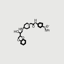 CCC[S+]([O-])c1ccc(NC(=O)CN2CCC(NCC(O)C3COc4ccccc4O3)CC2)cc1